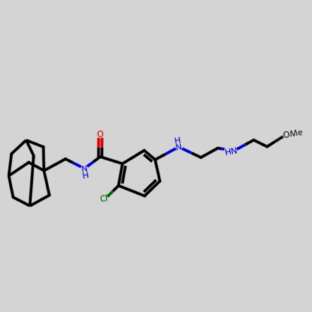 COCCNCCNc1ccc(Cl)c(C(=O)NCC23CC4CC(CC(C4)C2)C3)c1